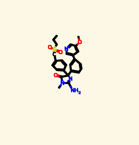 CCCS(=O)(=O)Cc1ccc(C2(c3cccc(-c4cncc(OC)c4)c3)N=C(N)N(C)C2=O)cc1